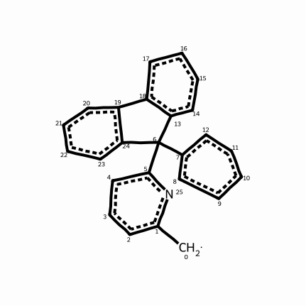 [CH2]c1cccc(C2(c3ccccc3)c3ccccc3-c3ccccc32)n1